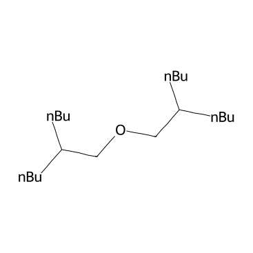 CCCCC(CCCC)COCC(CCCC)CCCC